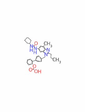 CCCc1nc2c(C)cc(NC(=O)NC3CCCCC3)cc2n1Cc1ccc(-c2ccccc2OC(=O)O)cc1